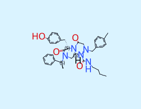 CCCCNC(=O)N1[C@H]2CN([C@@H](C)c3ccccc3)C(=O)[C@H](Cc3ccc(O)cc3)N2C(=O)CN1Cc1ccc(C)cc1